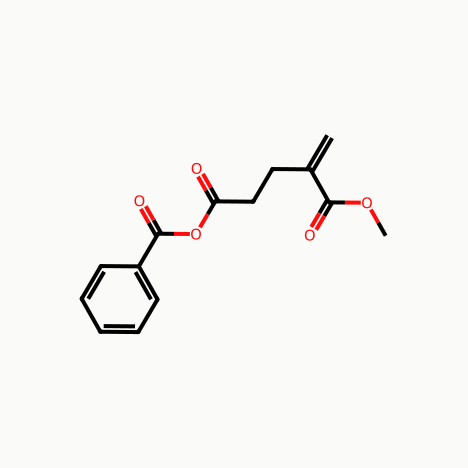 C=C(CCC(=O)OC(=O)c1ccccc1)C(=O)OC